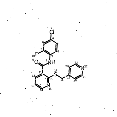 O=C(Nc1ccc(Cl)cc1F)c1cccnc1SCc1ccncc1